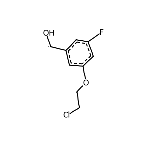 O[CH]c1cc(F)cc(OCCCl)c1